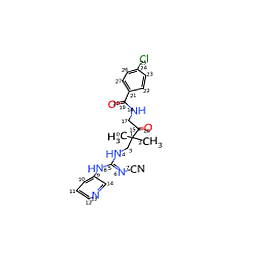 CC(C)(CNC(=NC#N)Nc1cccnc1)C(=O)CNC(=O)c1ccc(Cl)cc1